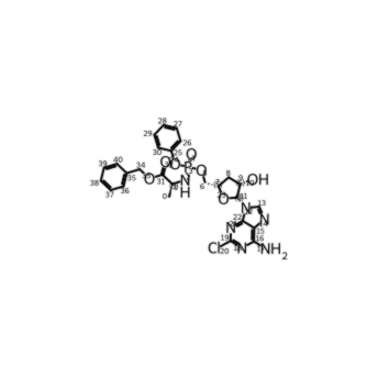 C[C@H](NP(=O)(OC[C@@H]1C[C@H](O)[C@H](n2cnc3c(N)nc(Cl)nc32)O1)Oc1ccccc1)C(=O)OCc1ccccc1